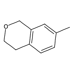 Cc1ccc2c(c1)COCC2